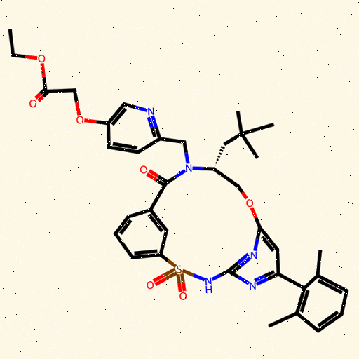 CCOC(=O)COc1ccc(CN2C(=O)c3cccc(c3)S(=O)(=O)Nc3nc(cc(-c4c(C)cccc4C)n3)OC[C@H]2CC(C)(C)C)nc1